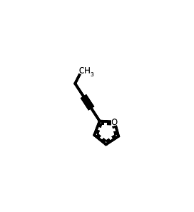 CCC#Cc1ccco1